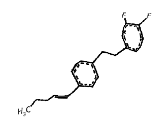 CCCC=Cc1ccc(CCc2ccc(F)c(F)c2)cc1